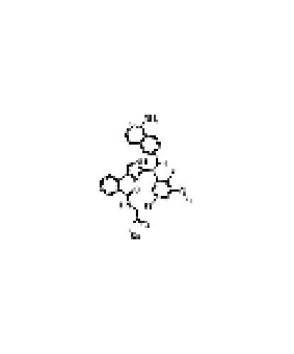 CCOc1cc(CC)cc(C(Nc2ccc3c(N)nccc3c2)c2nc(-c3ccccc3C(=O)NCC(=O)OC(C)(C)C)c[nH]2)c1F